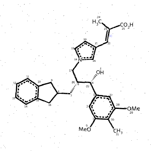 COc1cc([C@@H](O)[C@H](CC2Cc3ccccc3C2)Cn2ccc(/C=C(\C)C(=O)O)c2)cc(OC)c1C